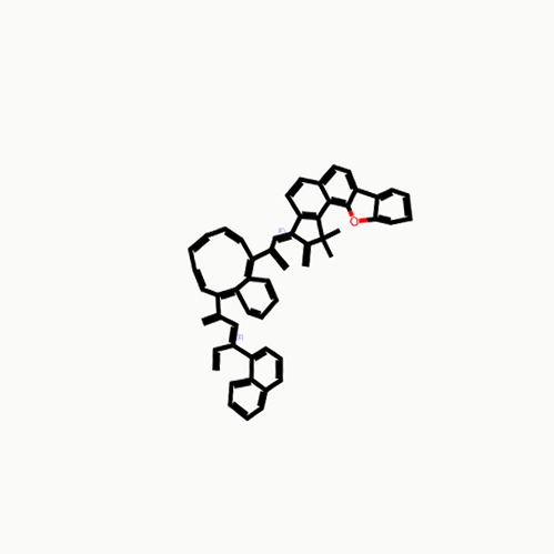 C=C/C(=C\C(=C)c1ccccccc(C(=C)/C=C2\C(=C)C(C)(C)c3c2ccc2ccc4c5ccccc5oc4c32)c2ccccc12)c1cccc2ccccc12